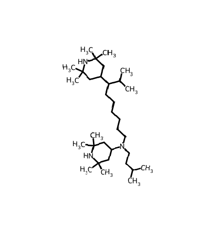 CC(C)CCN(CCCCCCC(C(C)C)C1CC(C)(C)NC(C)(C)C1)C1CC(C)(C)NC(C)(C)C1